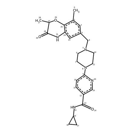 Cc1cc(CN2CCN(c3ccc(C(=O)NC4CC4)cn3)CC2)cc2c1OC(C)C(=O)N2